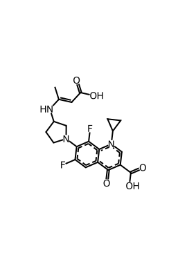 CC(=CC(=O)O)NC1CCN(c2c(F)cc3c(=O)c(C(=O)O)cn(C4CC4)c3c2F)C1